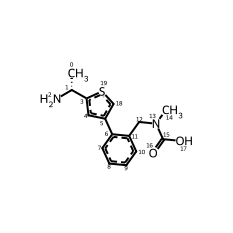 C[C@@H](N)c1cc(-c2ccccc2CN(C)C(=O)O)cs1